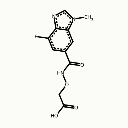 Cn1cnc2c(F)cc(C(=O)NOCC(=O)O)cc21